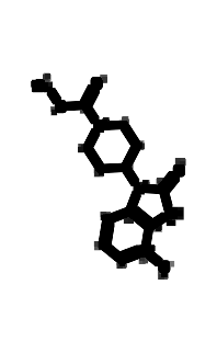 CC(C)(C)OC(=O)N1CCC(n2c(=O)[nH]c3c2ccc[n+]3[O-])CC1